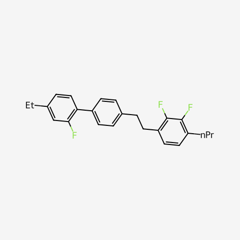 CCCc1ccc(CCc2ccc(-c3ccc(CC)cc3F)cc2)c(F)c1F